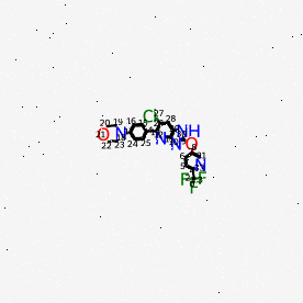 FC(F)(F)c1ccc(Oc2nc3nc(-c4ccc(N5CCOCC5)cc4)c(Cl)cc3[nH]2)cn1